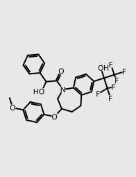 COc1ccc(OC2CCc3cc(C(O)(C(F)(F)F)C(F)(F)F)ccc3N(C(=O)C(O)c3ccccc3)C2)cc1